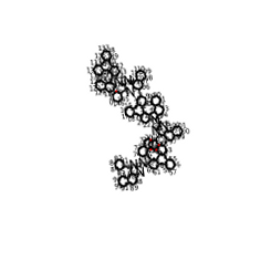 c1ccc(-c2nc3c(-c4ccc5c(c4)c4ccccc4c4ccc6c(c45)c4c5ccccc5ccc4n6-c4nc(-c5ccccc5)c5c(-c6ccc7c(c6)c6ccccc6c6ccc8c(c67)c6c7ccccc7ccc6n8-c6nc(-c7ccccc7)c7c(ccc8ccccc87)n6)cc6ccccc6c5n4)cc4ccccc4c3nc2-n2c3ccc4ccccc4c3c3c4c5ccccc5c5ccccc5c4ccc32)cc1